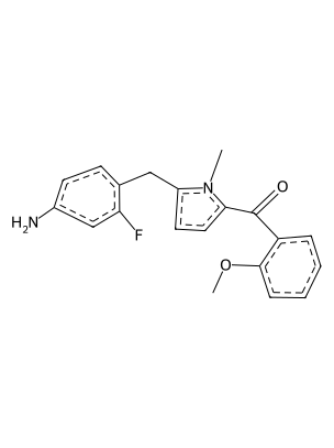 COc1ccccc1C(=O)c1ccc(Cc2ccc(N)cc2F)n1C